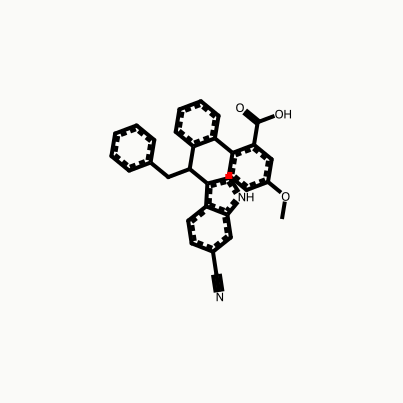 COc1ccc(-c2ccccc2C(Cc2ccccc2)c2c[nH]c3cc(C#N)ccc23)c(C(=O)O)c1